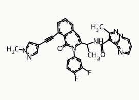 Cc1nn2cccnc2c1C(=O)NC(C)c1cc2cccc(C#Cc3cnn(C)c3)c2c(=O)n1-c1ccc(F)c(F)c1